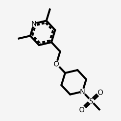 Cc1cc(COC2CCN(S(C)(=O)=O)CC2)cc(C)n1